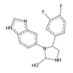 OC1NCC(c2ccc(F)c(F)c2)N1c1ccc2[nH]cnc2c1